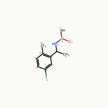 CC(N[S+]([O-])C(C)(C)C)c1cc(F)ccc1C(F)(F)F